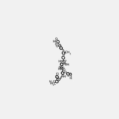 C[C@@H]1CN([C@H]2CC[C@H](CNc3ccc(S(=O)(=O)NC(=O)c4ccc(NCCNCC5=C(c6ccc(Cl)cc6)CC(C)(C)CC5)cc4Oc4cnc5[nH]ccc5c4)cc3[NH+]([O-])O)CC2)CCN1Cc1ccc2c(c1)CN(C1CCC(=O)NC1=O)C2=O